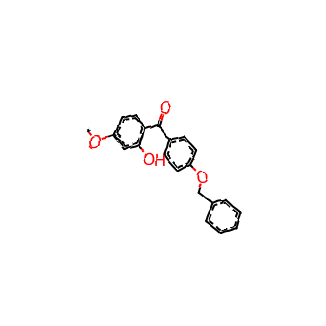 COc1ccc(C(=O)c2ccc(OCc3ccccc3)cc2)c(O)c1